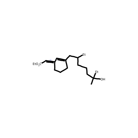 CCOC(=O)/C=C1/C=C(CC(CC)CCCC(C)(O)CC)CCC1